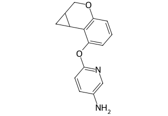 Nc1ccc(Oc2cccc3c2C2CC2CO3)nc1